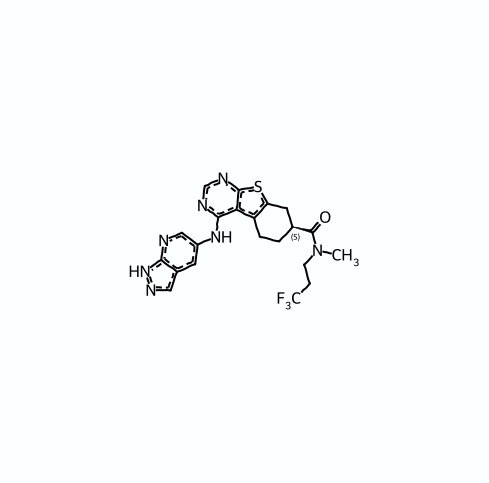 CN(CCC(F)(F)F)C(=O)[C@H]1CCc2c(sc3ncnc(Nc4cnc5[nH]ncc5c4)c23)C1